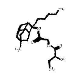 CCCCCC1(OC(=O)COC(=O)C(C)CC)C2CC3CC1CC(C)(C3)C2